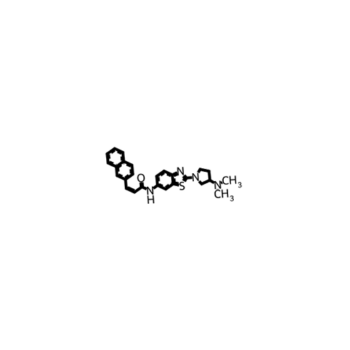 CN(C)C1CCN(c2nc3ccc(NC(=O)/C=C\c4ccc5ccccc5c4)cc3s2)C1